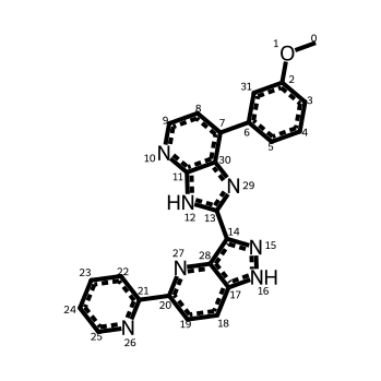 COc1cccc(-c2ccnc3[nH]c(-c4n[nH]c5ccc(-c6ccccn6)nc45)nc23)c1